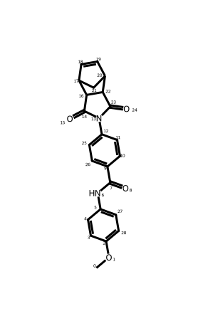 COc1ccc(NC(=O)c2ccc(N3C(=O)C4C5C=CC(C5)C4C3=O)cc2)cc1